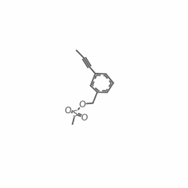 CC#Cc1cccc(COS(C)(=O)=O)c1